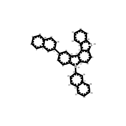 c1ccc2cc(-c3ccc4c(c3)c3c5c(ccc3n4-c3ccc4ccccc4c3)sc3ccccc35)ccc2c1